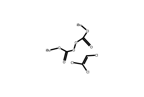 CCC(C)OC(=O)OOC(=O)OC(C)CC.ClC=C(Cl)Cl